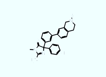 CC(=O)N1CCc2ccc(-c3cccc(C4(c5ccccc5)N=C(N)N(C)C4=O)c3)cc2C1.Cl